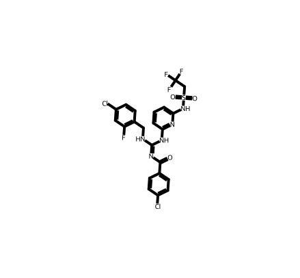 O=C(/N=C(/NCc1ccc(Cl)cc1F)Nc1cccc(NS(=O)(=O)CC(F)(F)F)n1)c1ccc(Cl)cc1